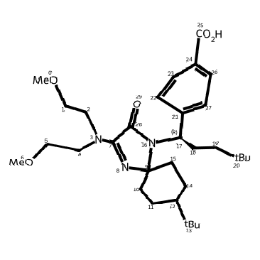 COCCN(CCOC)C1=NC2(CCC(C(C)(C)C)CC2)N([C@H](CCC(C)(C)C)c2ccc(C(=O)O)cc2)C1=O